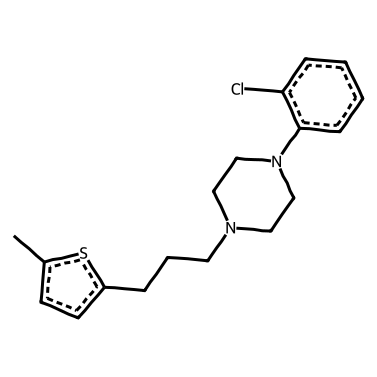 Cc1ccc(CCCN2CCN(c3ccccc3Cl)CC2)s1